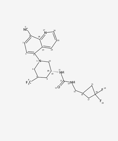 N#Cc1ccc(N2CC(C(F)(F)F)C[C@@H](NC(=O)NCC3CC(F)(F)C3)C2)c2cccnc12